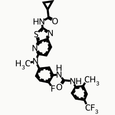 Cc1cc(C(F)(F)F)ccc1NC(=O)Nc1cc(N(C)c2ccc3nc(NC(=O)C4CC4)sc3n2)ccc1F